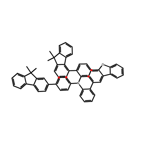 CC1(C)c2ccccc2-c2ccc(-c3ccc(N(c4ccccc4-c4ccc5oc6ccccc6c5c4)c4ccccc4-c4cccc5c4-c4ccccc4C5(C)C)cc3)cc21